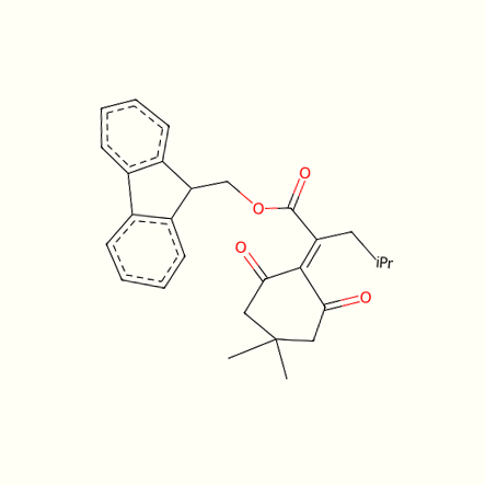 CC(C)CC(C(=O)OCC1c2ccccc2-c2ccccc21)=C1C(=O)CC(C)(C)CC1=O